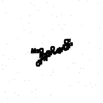 COc1nc(C2COC2)nc2c1CN(C(=O)CC1CN(c3ccnc(C(F)(F)F)c3)C1)C2